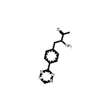 CC(=O)C(N)Cc1ccc(-c2nncnn2)cc1